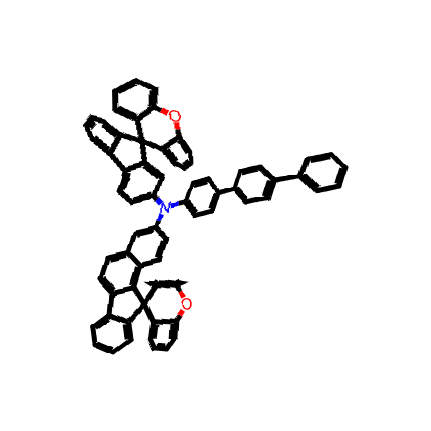 c1ccc(-c2ccc(-c3ccc(N(c4ccc5c(c4)C4(c6ccccc6Oc6ccccc64)c4ccccc4-5)c4ccc5c6c(ccc5c4)-c4ccccc4C64c5ccccc5Oc5ccccc54)cc3)cc2)cc1